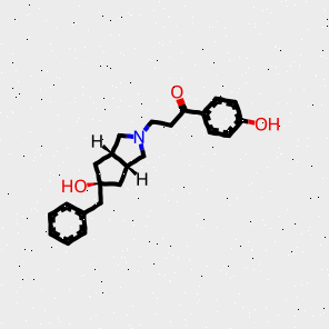 O=C(CCN1C[C@@H]2C[C@](O)(Cc3ccccc3)C[C@@H]2C1)c1ccc(O)cc1